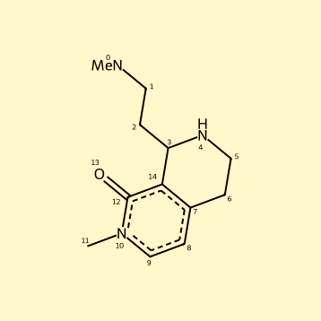 CNCCC1NCCc2ccn(C)c(=O)c21